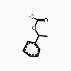 CC(OC([O])=O)c1ccccc1